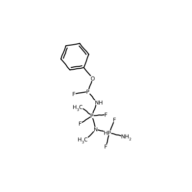 CN([PH](N)(F)F)P(C)(F)(F)NP(F)Oc1ccccc1